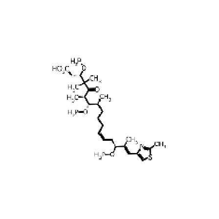 C/C(=C\c1csc(C)n1)[C@H](C/C=C\CCC[C@H](C)[C@H](OP)[C@@H](C)C(=O)C(C)(C)[C@H](CC(=O)O)OP)OP